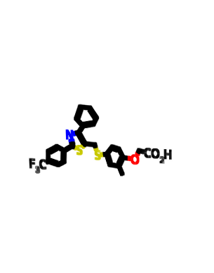 Cc1cc(SCc2sc(-c3ccc(C(F)(F)F)cc3)nc2-c2ccccc2)ccc1OCC(=O)O